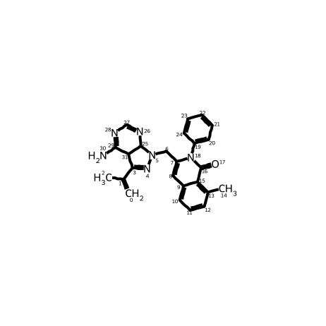 C=C(C)C1=NN(Cc2cc3cccc(C)c3c(=O)n2-c2ccccc2)C2N=CN=C(N)C12